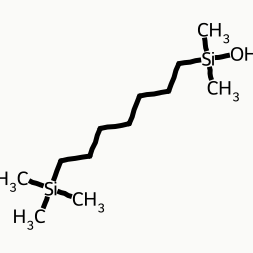 C[Si](C)(C)CCCCCCC[Si](C)(C)O